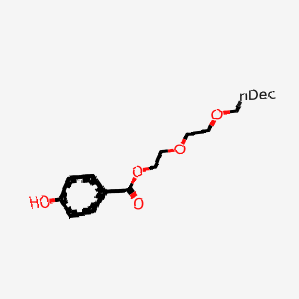 CCCCCCCCCCCOCCOCCOC(=O)c1ccc(O)cc1